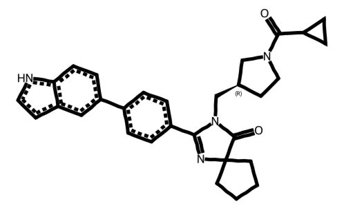 O=C(C1CC1)N1CC[C@@H](CN2C(=O)C3(CCCC3)N=C2c2ccc(-c3ccc4[nH]ccc4c3)cc2)C1